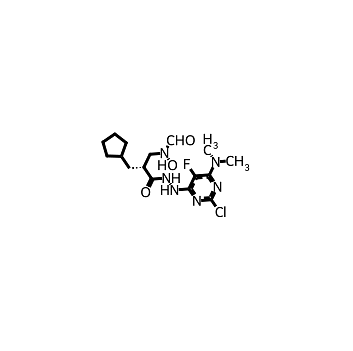 CN(C)c1nc(Cl)nc(NNC(=O)[C@H](CC2CCCC2)CN(O)C=O)c1F